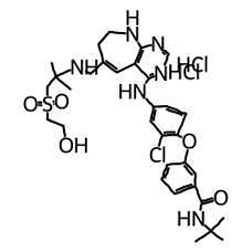 CC(C)(C)NC(=O)c1cccc(Oc2ccc(Nc3ncnc4c3C=C(CNC(C)(C)CS(=O)(=O)CCO)CCN4)cc2Cl)c1.Cl.Cl